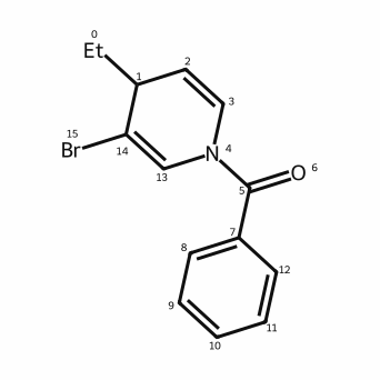 CCC1C=CN(C(=O)c2ccccc2)C=C1Br